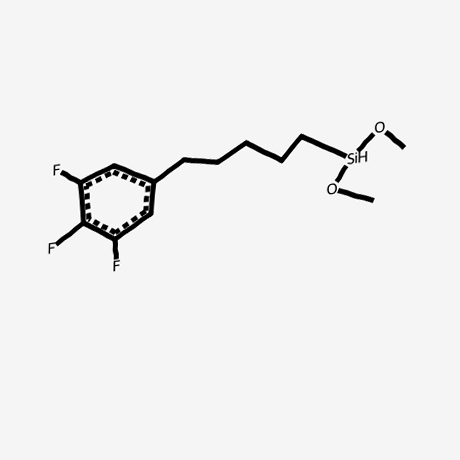 CO[SiH](CCCCCc1cc(F)c(F)c(F)c1)OC